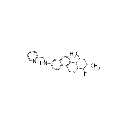 CC1CC(C)C2c3ccc4cc(NCc5ccccn5)ccc4c3C=CC2C1F